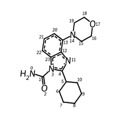 NC(=O)n1c(C2CCCCC2)nc2c(N3CCOCC3)cccc21